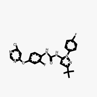 CC(C)(C)c1cc(NC(=O)Nc2ccc(Oc3cc(Cl)ncn3)cc2F)n(-c2ccc(F)cc2)n1